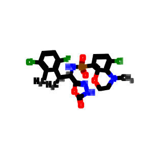 Cc1c(Cl)ccc(F)c1[C@@H](C)[C@H](NS(=O)(=O)c1ccc(Cl)c2c1OCCN2C)c1n[nH]c(=O)o1